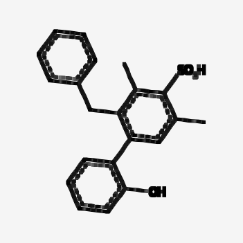 Cc1cc(-c2ccccc2O)c(Cc2ccccc2)c(C)c1S(=O)(=O)O